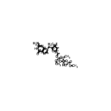 COP(=O)(O)OP(=O)(OC)OP(=O)(OC)OC[C@@H]1C[C@@](C)(F)[C@H](Cn2cnc3c(=O)[nH]c(N)nc32)O1